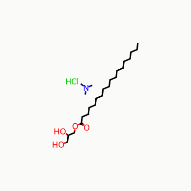 CCCCCCCCCCCCCCCCCC(=O)OCC(O)CO.CN(C)C.Cl